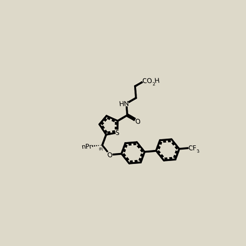 CCC[C@@H](Oc1ccc(-c2ccc(C(F)(F)F)cc2)cc1)c1ccc(C(=O)NCCC(=O)O)s1